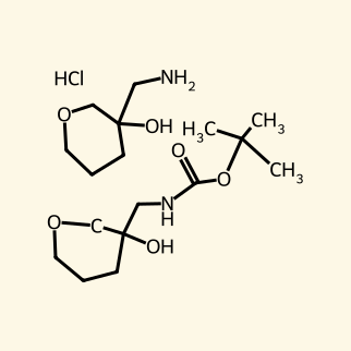 CC(C)(C)OC(=O)NCC1(O)CCCOC1.Cl.NCC1(O)CCCOC1